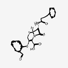 O=Cc1ccccc1SC1=C(C(=O)O)N2C(=O)[C@@H](NC(=O)Cc3ccccc3)[C@H]2SC1